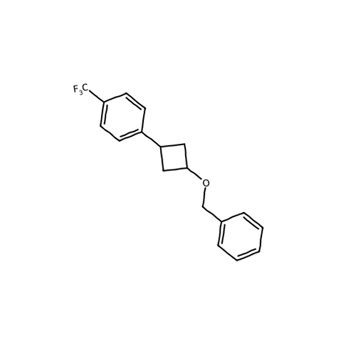 FC(F)(F)c1ccc(C2CC(OCc3ccccc3)C2)cc1